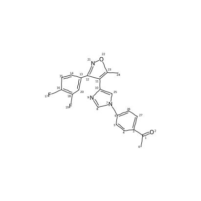 CC(=O)c1ccc(-n2cnc(-c3c(-c4ccc(F)c(F)c4)noc3C)c2)cc1